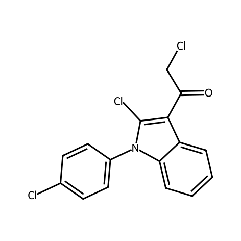 O=C(CCl)c1c(Cl)n(-c2ccc(Cl)cc2)c2ccccc12